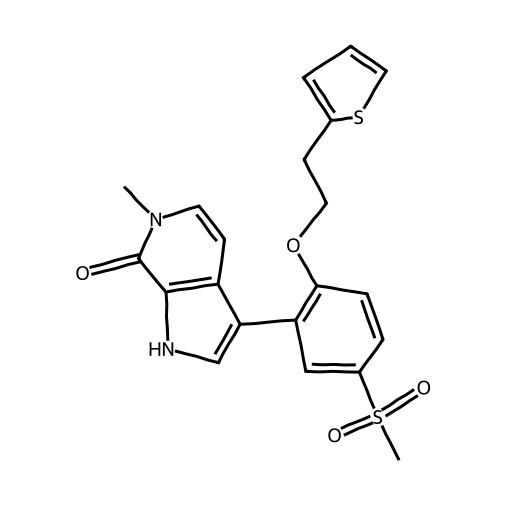 Cn1ccc2c(-c3cc(S(C)(=O)=O)ccc3OCCc3cccs3)c[nH]c2c1=O